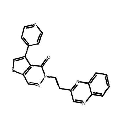 O=c1c2c(-c3ccncc3)csc2cnn1CCc1cnc2ccccc2n1